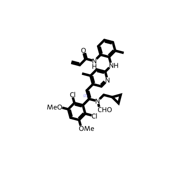 C=CC(=O)Nc1cccc(C)c1Nc1cc(C)c(/C=C(/c2c(Cl)c(OC)cc(OC)c2Cl)N(C=O)CC2CC2)cn1